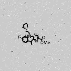 C=C(c1ccc(F)cc1)c1nc(C(=O)OC)cnc1NCCN1CCCC1